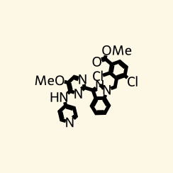 COC(=O)c1ccc(Cl)c(Cn2nc(-c3ncc(OC)c(Nc4ccncc4)n3)c3ccccc32)c1Cl